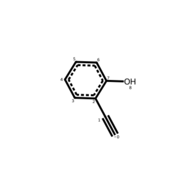 [C]#Cc1ccccc1O